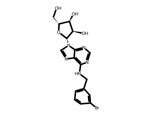 OC[C@H]1O[C@@H](n2cnc3c(NCc4cccc(Br)c4)ncnc32)[C@H](O)[C@@H]1O